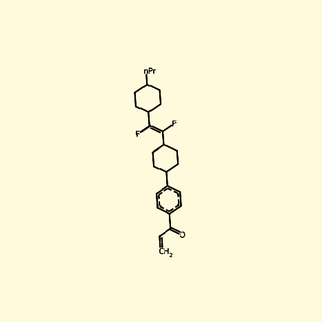 C=CC(=O)c1ccc(C2CCC(/C(F)=C(\F)C3CCC(CCC)CC3)CC2)cc1